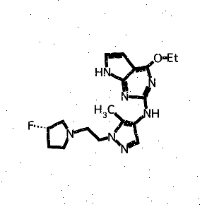 CCOc1nc(Nc2cnn(CCN3CC[C@H](F)C3)c2C)nc2[nH]ccc12